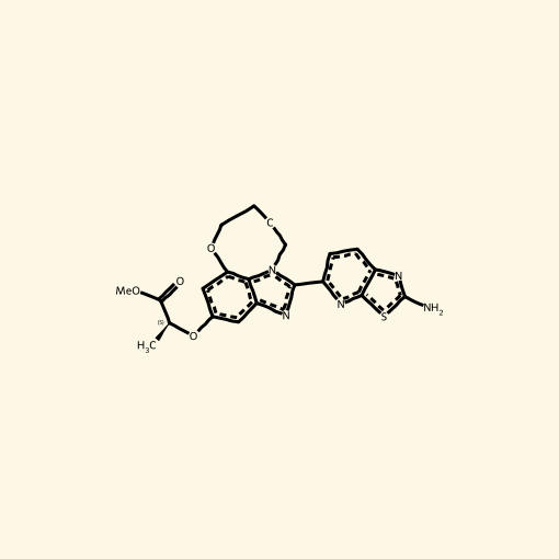 COC(=O)[C@H](C)Oc1cc2c3c(c1)nc(-c1ccc4nc(N)sc4n1)n3CCCCO2